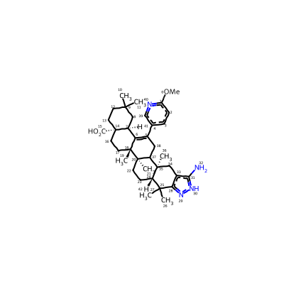 COc1ccc(C2=C3[C@@H]4CC(C)(C)CC[C@]4(C(=O)O)CC[C@@]3(C)[C@]3(C)CC[C@H]4C(C)(C)c5n[nH]c(N)c5C[C@]4(C)C3C2)cn1